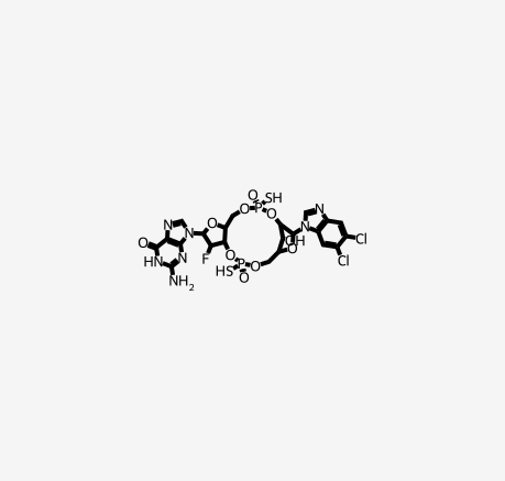 Nc1nc2c(ncn2C2OC3COP(=O)(S)OC4C(O)C(COP(=O)(S)OC3C2F)OC4n2cnc3cc(Cl)c(Cl)cc32)c(=O)[nH]1